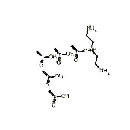 C=P(=O)O.C=P(=O)O.C=P(=O)O.C=P(=O)O.C=P(=O)O.NCCNCCN